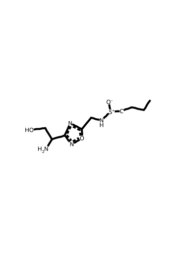 CCCC[S+]([O-])NCc1nc(C(N)CO)no1